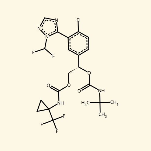 CC(C)(C)NC(=O)O[C@H](COC(=O)NC1(C(F)(F)F)CC1)c1ccc(Cl)c(-c2ncnn2C(F)F)c1